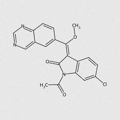 COC(=C1C(=O)N(C(C)=O)c2cc(Cl)ccc21)c1ccc2ncncc2c1